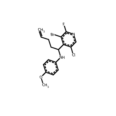 C=CCCC(Nc1ccc(OC)cc1)c1c(Cl)cnc(F)c1Br